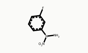 NN(c1cccc(F)c1)[N+](=O)[O-]